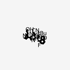 CC(C)(C)OC(=O)N(Cc1c(F)ccc2c1CCO2)c1ncc(-c2ccnn2CCO)c2nc(C#N)cn12